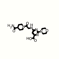 NC(=O)C1CCN(C(=O)CNc2cc(C(=O)O)nc(N3CCOCC3)n2)CC1